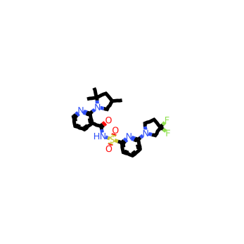 CC1CN(c2ncccc2C(=O)NS(=O)(=O)c2cccc(N3CCC(F)(F)C3)n2)C(C)(C)C1